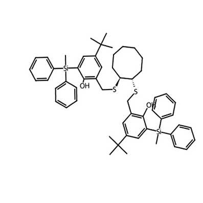 CC(C)(C)c1cc(CS[C@H]2CCCCCC[C@@H]2SCc2cc(C(C)(C)C)cc([Si](C)(c3ccccc3)c3ccccc3)c2O)c(O)c([Si](C)(c2ccccc2)c2ccccc2)c1